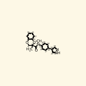 CN(C(=O)C1(C)COc2ccccc2O1)c1ccc(-c2cn[nH]c2)cc1